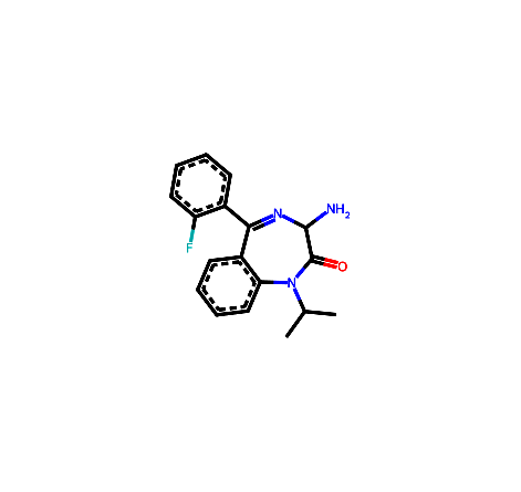 CC(C)N1C(=O)C(N)N=C(c2ccccc2F)c2ccccc21